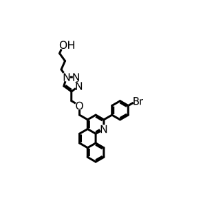 OCCCn1cc(COCc2cc(-c3ccc(Br)cc3)nc3c2ccc2ccccc23)nn1